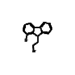 BrCCC1c2ccccc2-c2cccc(Br)c21